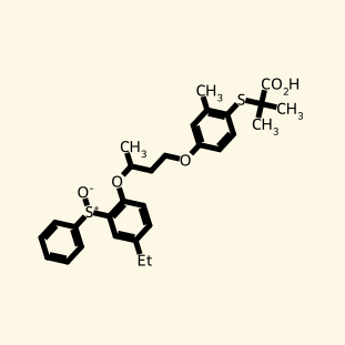 CCc1ccc(OC(C)CCOc2ccc(SC(C)(C)C(=O)O)c(C)c2)c([S+]([O-])c2ccccc2)c1